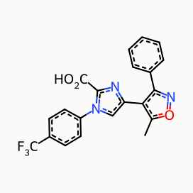 Cc1onc(-c2ccccc2)c1-c1cn(-c2ccc(C(F)(F)F)cc2)c(C(=O)O)n1